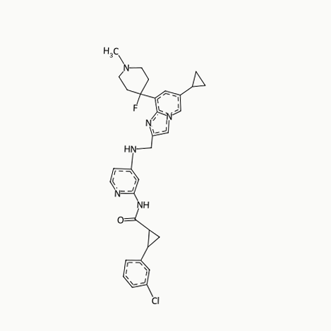 CN1CCC(F)(c2cc(C3CC3)cn3cc(CNc4ccnc(NC(=O)C5CC5c5cccc(Cl)c5)c4)nc23)CC1